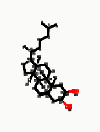 CC(C)CCC[C@@H](C)[C@H]1CC[C@H]2[C@@H]3CC=C4C[C@@H](O)[C@H](O)C[C@]4(C)[C@H]3CC[C@]12C